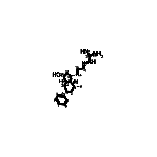 C[C@@H]1C[C@H](c2ccccc2)C[C@H]2[C@H]1[C@@H](/C=C/C=N/NC(=N)N)C[C@H]2O